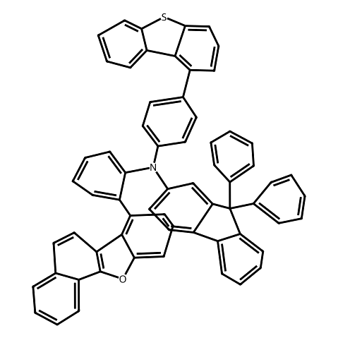 c1ccc(C2(c3ccccc3)c3ccccc3-c3ccc(N(c4ccc(-c5cccc6sc7ccccc7c56)cc4)c4ccccc4-c4cccc5oc6c7ccccc7ccc6c45)cc32)cc1